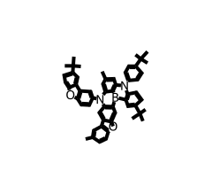 Cc1cc2c3c(c1)N(c1ccc4oc5ccc(C(C)(C)C)cc5c4c1)c1cc4c(cc1B3c1cc(C(C)(C)C)ccc1N2c1ccc(C(C)(C)C)cc1)oc1ccc(C)cc14